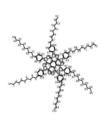 CCCCCCCCCCc1ccc(OC(=O)c2c(C(=O)Oc3ccc(CCCCCCCCCC)cc3)c(C(=O)Oc3ccc(CCCCCCCCCC)cc3)c(C(=O)Oc3ccc(CCCCCCCCCC)cc3)c(C(=O)Oc3ccc(CCCCCCCCCC)cc3)c2C(=O)Oc2ccc(CCCCCCCCCC)cc2)cc1